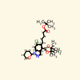 CC(C)(C)OC(=O)CCCCc1c(Cl)cc2c(cnn2C2CCCCO2)c1B1OC(C)(C)C(C)(C)O1